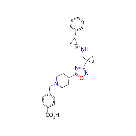 O=C(O)c1ccc(CN2CCC(c3nc(C4(CN[C@@H]5CC5c5ccccc5)CC4)no3)CC2)cc1